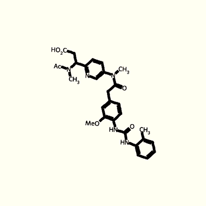 COc1cc(CC(=O)N(C)c2ccc(C(CC(=O)O)N(C)C(C)=O)nc2)ccc1NC(=O)Nc1ccccc1C